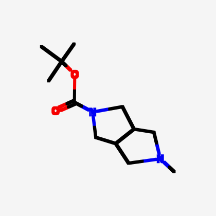 CN1CC2CN(C(=O)OC(C)(C)C)CC2C1